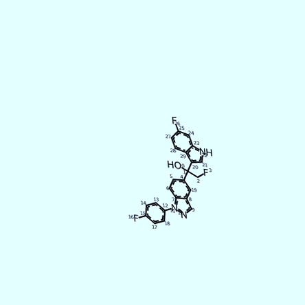 OC(CF)(c1ccc2c(cnn2-c2ccc(F)cc2)c1)c1c[nH]c2cc(F)ccc12